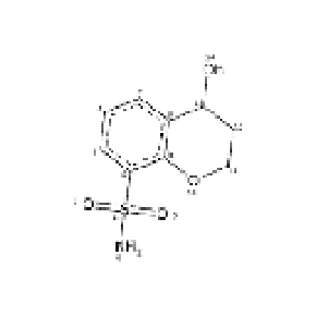 NS(=O)(=O)c1cccc2c1OCCC2O